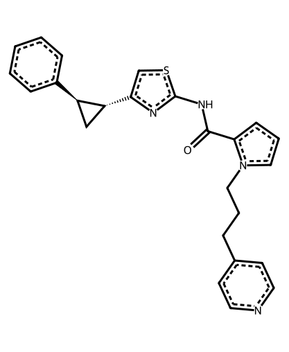 O=C(Nc1nc([C@@H]2C[C@H]2c2ccccc2)cs1)c1cccn1CCCc1ccncc1